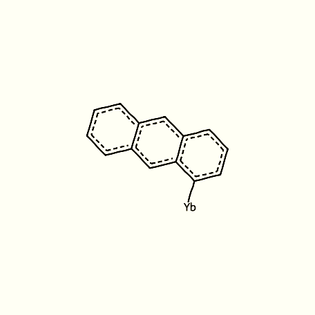 [Yb][c]1cccc2cc3ccccc3cc12